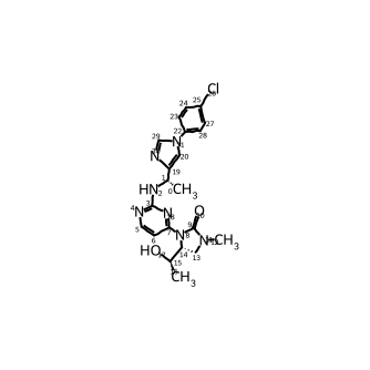 C[C@H](Nc1nccc(N2C(=O)N(C)C[C@@H]2[C@@H](C)O)n1)c1cn(-c2ccc(Cl)cc2)cn1